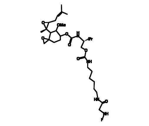 COC1C(OC(=O)N[C@@H](COC(=O)NCCCCCCNC(=O)CNF)C(C)C)CCC2(CO2)C1[C@]1(C)OC1CC=C(C)C